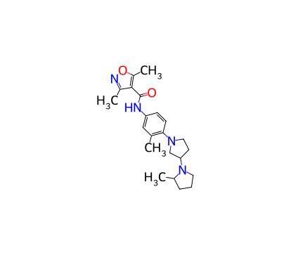 Cc1cc(NC(=O)c2c(C)noc2C)ccc1N1CCC(N2CCCC2C)C1